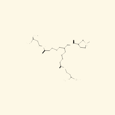 C=C(CCCCC(CCCCC(=O)OCCC(CCCCCCCCC)CCCCCCCCC)COC(=O)C1CCN(C)C1)OCCC(CCCCCCCCC)CCCCCCCCC